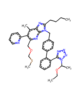 CCCCc1nc2c(C)c(-c3ccccn3)c(COCSC)nc2n1Cc1ccc(-c2ccccc2-c2nnnn2C(C)OCC)cc1